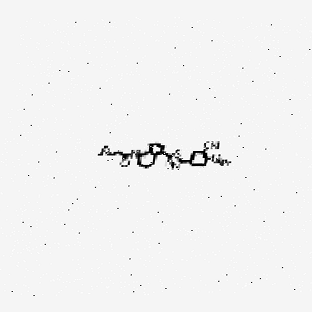 CC(C)Oc1ccc(-c2nnc(-c3cccc4c3CCC[C@@H]4NC(=O)CCN(C)C)s2)cc1C#N